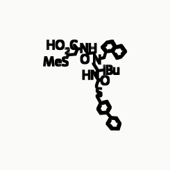 CCC(C)C(CN(CC(=O)NC(CCSC)C(=O)O)Cc1cccc2ccccc12)NC(=O)CSCc1ccc(-c2ccccc2)cc1